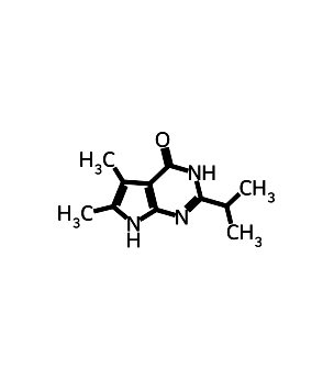 Cc1[nH]c2nc(C(C)C)[nH]c(=O)c2c1C